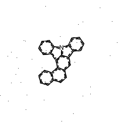 c1ccc2c(c1)ccc1cc3c4ccccc4n4c5ccccc5c(c12)c34